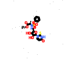 CC(C)OC(=O)[C@H](C)NP(=O)(OC[C@H]1O[C@@H](n2ccc(=O)[nH]c2=S)[C@@H](O)C1O)Oc1ccccc1